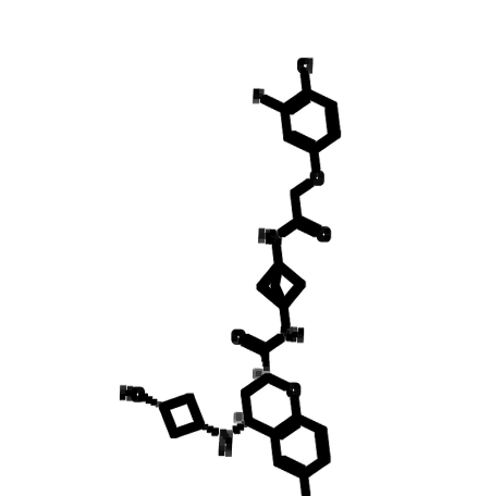 O=C(COc1ccc(Cl)c(F)c1)NC12CC(NC(=O)[C@H]3C[C@@H](N[C@H]4C[C@@H](O)C4)c4cc(Cl)ccc4O3)(C1)C2